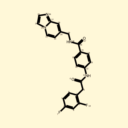 O=C(Cc1ccc(F)cc1F)Nc1ccc(C(=O)NCc2ccn3ccnc3c2)cc1